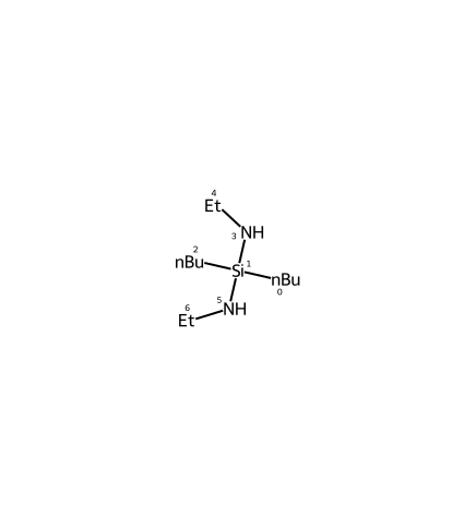 CCCC[Si](CCCC)(NCC)NCC